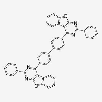 c1ccc(-c2nc(-c3ccc(-c4ccc(-c5nc(-c6ccccc6)nc6oc7ccccc7c56)cc4)cc3)c3c(n2)oc2ccccc23)cc1